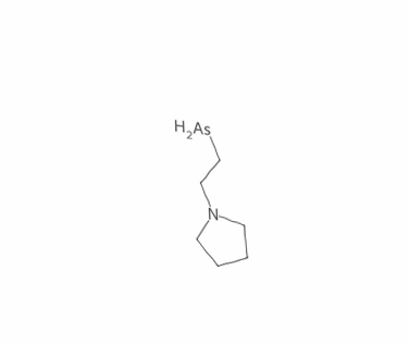 [AsH2]CCN1CCCC1